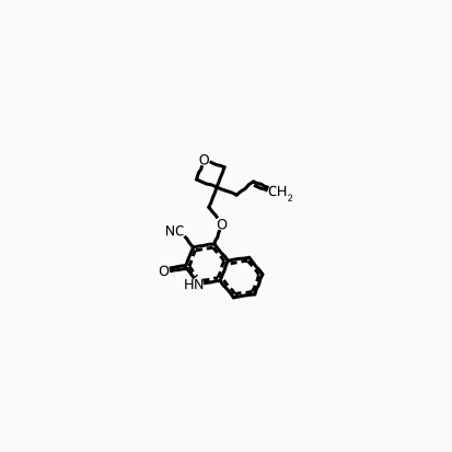 C=CCC1(COc2c(C#N)c(=O)[nH]c3ccccc23)COC1